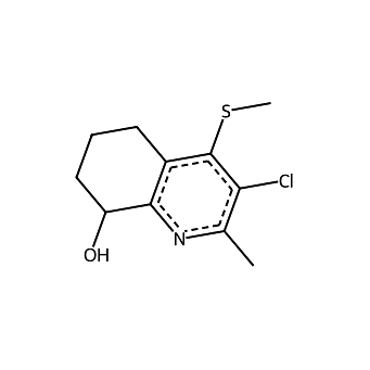 CSc1c(Cl)c(C)nc2c1CCCC2O